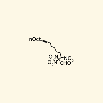 CCCCCCCCC#CCCCCCC([N+](=O)[O-])C([C]=O)([N+](=O)[O-])[N+](=O)[O-]